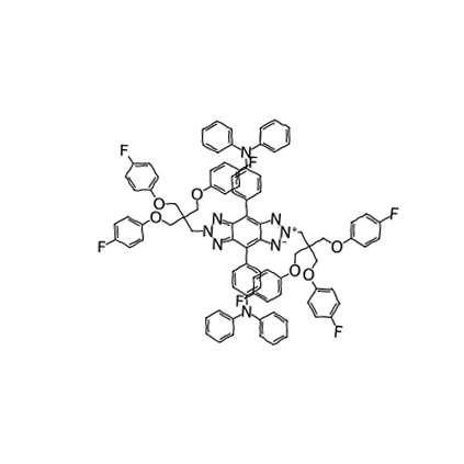 Fc1ccc(OCC(COc2ccc(F)cc2)(COc2ccc(F)cc2)Cn2nc3c(-c4ccc(N(c5ccccc5)c5ccccc5)cc4)c4n[n+](CC(COc5ccc(F)cc5)(COc5ccc(F)cc5)COc5ccc(F)cc5)[n-]c4c(-c4ccc(N(c5ccccc5)c5ccccc5)cc4)c3n2)cc1